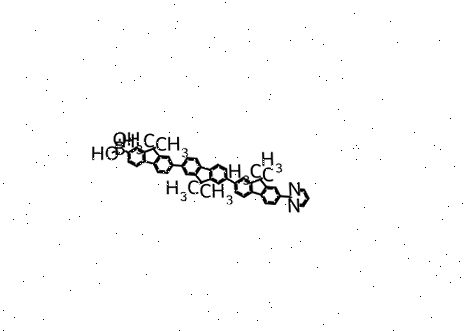 CC1(C)c2cc(B(O)O)ccc2-c2ccc(-c3ccc4c(c3)C(C)(C)c3cc(-c5ccc6c(c5)C(C)(C)c5cc(-c7ncccn7)ccc5-6)ccc3-4)cc21